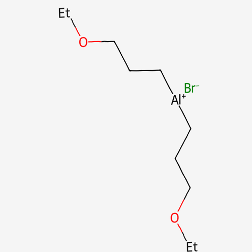 CCOCC[CH2][Al+][CH2]CCOCC.[Br-]